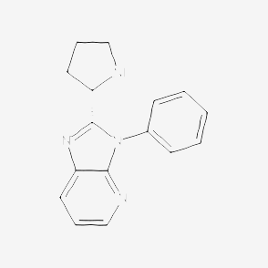 c1ccc(-n2c([C@@H]3CCCN3)nc3cccnc32)cc1